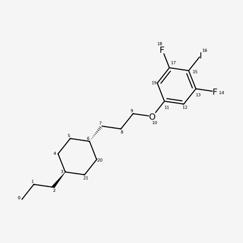 CCC[C@H]1CC[C@H](CCCOc2cc(F)c(I)c(F)c2)CC1